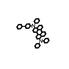 c1ccc(-c2ccc(N(c3ccccc3)c3ccc4c5ccc(N(c6ccccc6)c6ccccc6)c6cccc(c7cccc3c74)c65)cc2)cc1